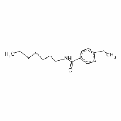 CCCCCCCNC(=O)c1ccc(CC)cc1